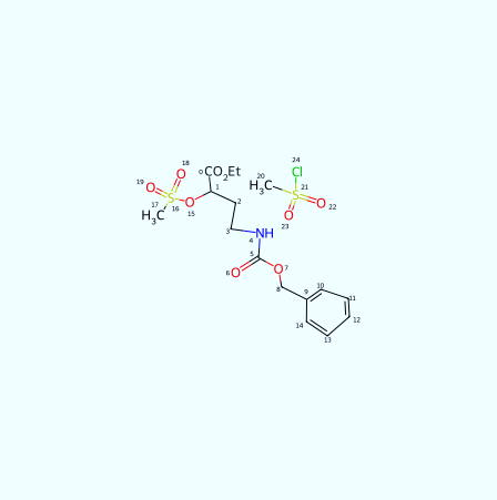 CCOC(=O)C(CCNC(=O)OCc1ccccc1)OS(C)(=O)=O.CS(=O)(=O)Cl